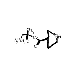 CC(C)(CN)OC(=O)C1CCNC1